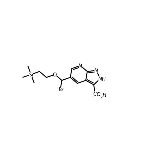 C[Si](C)(C)CCOC(Br)c1cnc2n[nH]c(C(=O)O)c2c1